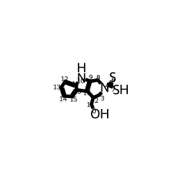 OCC1CN(C(=S)S)Cc2[nH]c3ccccc3c21